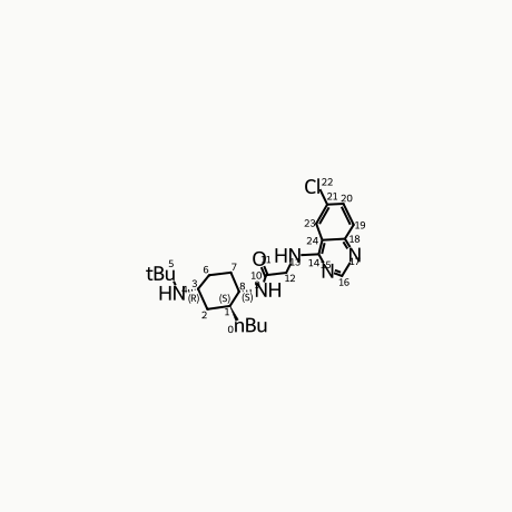 CCCC[C@H]1C[C@H](NC(C)(C)C)CC[C@@H]1NC(=O)CNc1ncnc2ccc(Cl)cc12